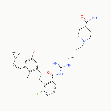 Cc1c(/C=C\C2CC2)cc(Br)cc1CCc1c(F)cccc1C(=O)NC(=N)NCCCCN1CCC(C(N)=O)CC1